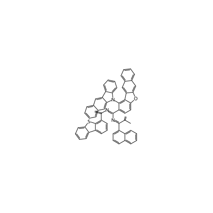 C=C(C)/C(=N\C(=N/C(=C)c1cccc2c1sc1ccccc12)c1ccc2oc3cc4ccccc4cc3c2c1-n1c2ccccc2c2cc3ccccc3cc21)c1cccc2ccccc12